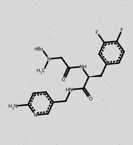 CCCCN(C)CC(=O)N[C@@H](Cc1ccc(F)c(F)c1)C(=O)NCc1ccc(N)nc1